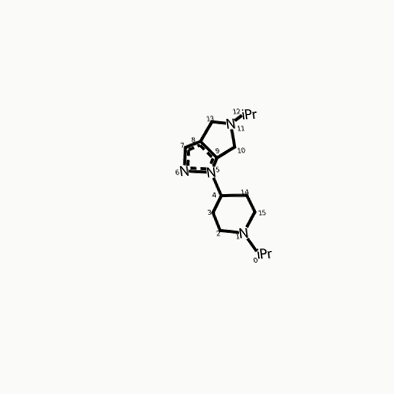 CC(C)N1CCC(n2ncc3c2CN(C(C)C)C3)CC1